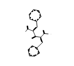 O=C(O)/C(=C\c1ccccc1)C(=O)/C(=C\c1ccccc1)C(=O)O